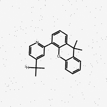 [2H]C(C)(C)c1ccnc(-c2cccc3c2Oc2ccccc2C3(C)C)c1